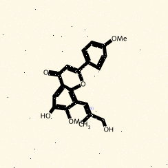 COc1ccc(-c2cc(=O)c3cc(O)c(OC)c(/C=C(\C)CO)c3o2)cc1